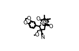 COC[C@]1(C#N)CC23SSC(C)(C(=O)N2C1c1ccc2c(c1)OCO2)N(C)C3=O